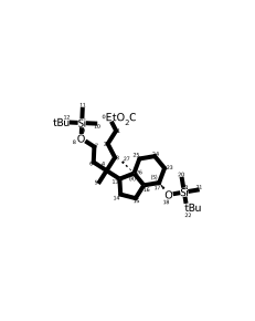 CCOC(=O)CCCC(C)(CCO[Si](C)(C)C(C)(C)C)C1CCC2[C@@H](O[Si](C)(C)C(C)(C)C)CCC[C@@]21C